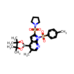 Cc1ccc(S(=O)(=O)n2c(S(=O)(=O)N3CCCC3)cc3c(B4OC(C)(C)C(C)(C)O4)c(C)cnc32)cc1